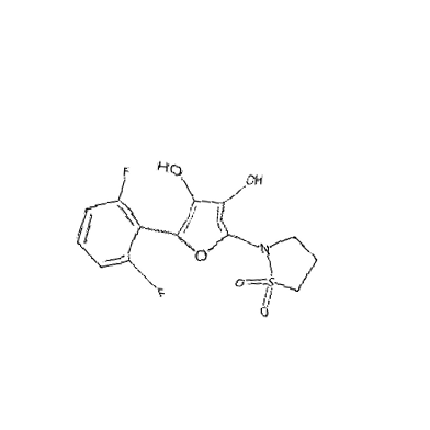 O=S1(=O)CCCN1c1oc(-c2c(F)cccc2F)c(O)c1O